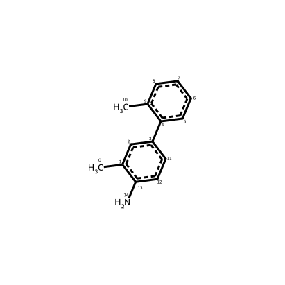 Cc1cc(-c2ccccc2C)ccc1N